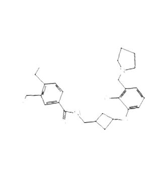 O=C(NCC1CC(Oc2cccc(CN3CCCC3)c2Cl)C1)c1ccc(CF)c(CF)c1